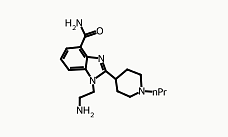 CCCN1CCC(c2nc3c(C(N)=O)cccc3n2CCN)CC1